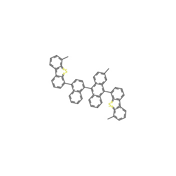 Cc1ccc2c(-c3ccc(-c4cccc5c4sc4c(C)cccc45)c4ccccc34)c3ccccc3c(-c3cccc4c3sc3c(C)cccc34)c2c1